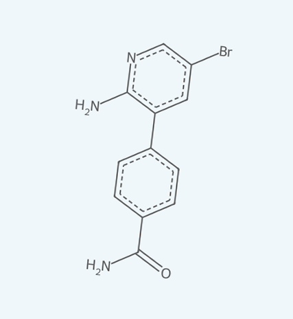 NC(=O)c1ccc(-c2cc(Br)cnc2N)cc1